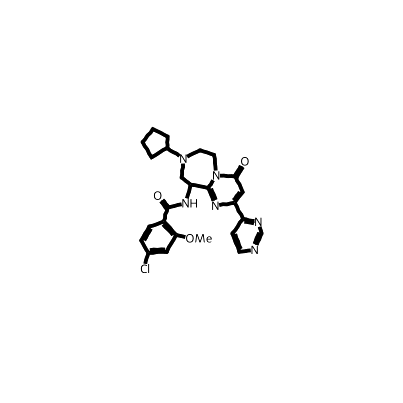 COc1cc(Cl)ccc1C(=O)NC1CN(C2CCCC2)CCn2c1nc(-c1ccncn1)cc2=O